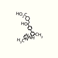 Cc1cc(Nc2nccc(C)n2)cc(-c2ccc(C(O)CC3CCC(C(=O)O)CC3)cc2)c1